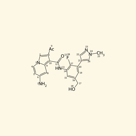 CC(=O)c1cn2ccc(N)cc2c1C(=O)Nc1cc(CO)cc(-c2cnn(C)c2)c1F